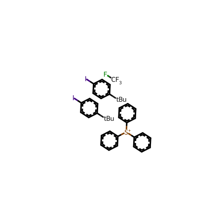 CC(C)(C)c1ccc(I)cc1.CC(C)(C)c1ccc(I)cc1.FC(F)(F)F.c1ccc([S+](c2ccccc2)c2ccccc2)cc1